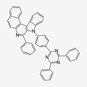 c1ccc(-c2nc(-c3ccccc3)nc(-c3ccc(-n4c5ccccc5c5c6c(ccc7ccccc76)nc(-c6ccccc6)c54)cc3)n2)cc1